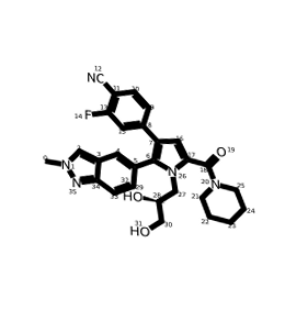 Cn1cc2cc(-c3c(-c4ccc(C#N)c(F)c4)cc(C(=O)N4CCCCC4)n3C[C@H](O)CO)ccc2n1